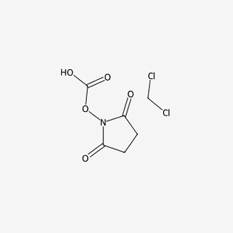 ClCCl.O=C(O)ON1C(=O)CCC1=O